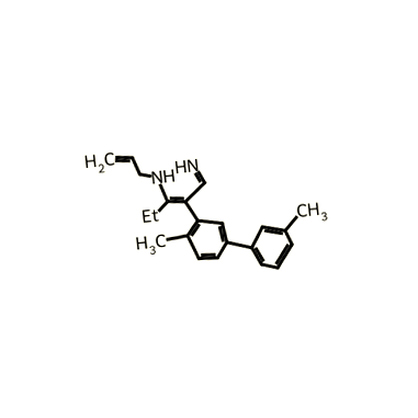 C=CCN/C(CC)=C(\C=N)c1cc(-c2cccc(C)c2)ccc1C